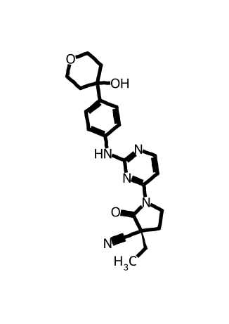 CC[C@]1(C#N)CCN(c2ccnc(Nc3ccc(C4(O)CCOCC4)cc3)n2)C1=O